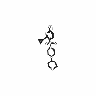 O=S(=O)(c1ccc(C(F)(F)F)nc1C1CC1)N1CCN(C2CCOCC2)CC1